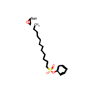 C1CO1.CCCCCCCCCCCCS(=O)(=O)Oc1ccccc1.[NaH]